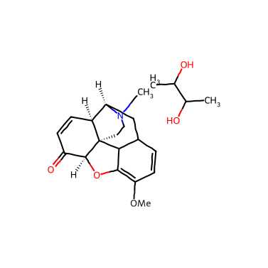 CC(O)C(C)O.COC1=C2O[C@H]3C(=O)C=C[C@H]4[C@H]5CC(C=C1)C2[C@@]34CCN5C